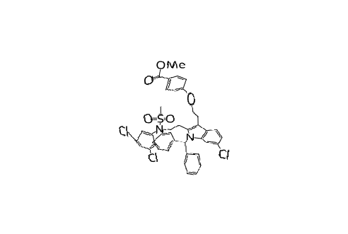 COC(=O)c1ccc(OCCc2c(CCN(c3cc(Cl)cc(Cl)c3)S(C)(=O)=O)n(C(c3ccccc3)c3ccccc3)c3cc(Cl)ccc23)cc1